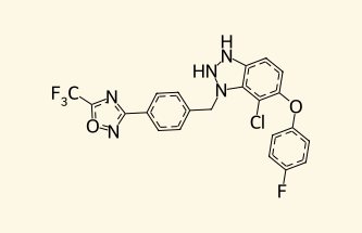 Fc1ccc(Oc2ccc3c(c2Cl)N(Cc2ccc(-c4noc(C(F)(F)F)n4)cc2)NN3)cc1